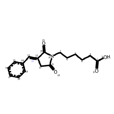 O=C(O)CCCCCN1C(=O)C/C(=C\c2ccccc2)C1=O